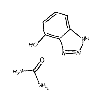 NC(N)=O.Oc1cccc2[nH]nnc12